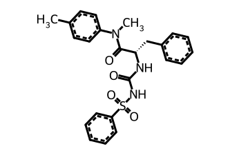 Cc1ccc(N(C)C(=O)[C@H](Cc2ccccc2)NC(=O)NS(=O)(=O)c2ccccc2)cc1